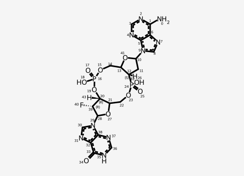 Nc1ncnc2c1ncn2C1C[C@H]2C(COP(=O)(O)O[C@@H]3C(COP2(=O)O)OC(n2cnc4c(=O)[nH]cnc42)[C@@H]3F)O1